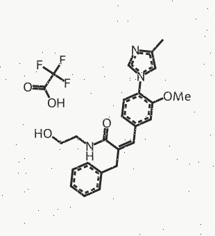 COc1cc(C=C(Cc2ccccc2)C(=O)NCCO)ccc1-n1cnc(C)c1.O=C(O)C(F)(F)F